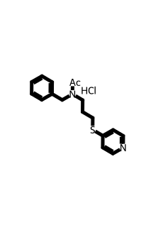 CC(=O)N(CCCSc1ccncc1)Cc1ccccc1.Cl